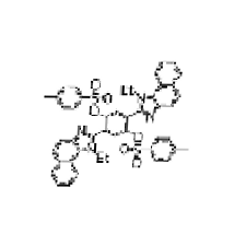 CCn1c(-c2cc(OS(=O)(=O)c3ccc(C)cc3)c(-c3nc4ccc5ccccc5c4n3CC)cc2OS(=O)(=O)c2ccc(C)cc2)nc2ccc3ccccc3c21